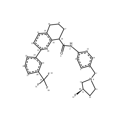 O=C(Nc1ccc(CN2CC[C@@H](F)C2)cn1)C1CCCc2ccc(-c3cccc(C(F)(F)F)c3)nc21